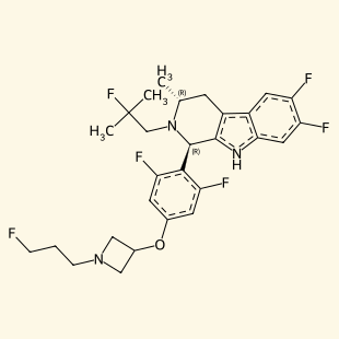 C[C@@H]1Cc2c([nH]c3cc(F)c(F)cc23)[C@@H](c2c(F)cc(OC3CN(CCCF)C3)cc2F)N1CC(C)(C)F